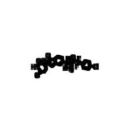 BC(B)(NC(=O)C(F)(F)c1ccc(Cl)cc1)c1ccc2c(c1)CN([C@]1(B)CCC(=O)NC1=O)C2=O